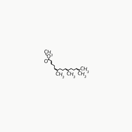 CCOC(=O)/C=C/CC=C(C)CC/C=C(\C)CCC=C(C)C